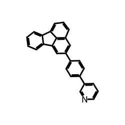 c1cncc(-c2ccc(-c3cc4c5c(cccc5c3)-c3ccccc3-4)cc2)c1